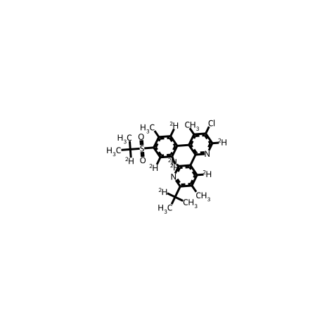 [2H]c1nc(-c2c([2H])nc(C([2H])(C)C)c(C)c2[2H])c(-c2c([2H])c([2H])c(S(=O)(=O)C([2H])(C)C)c(C)c2[2H])c(C)c1Cl